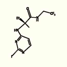 CC[C@@](C)(Nc1ccnc(I)n1)C(=O)NCC(F)(F)F